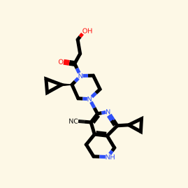 N#Cc1c(N2CCN(C(=O)CCO)[C@H](C3CC3)C2)nc(C2CC2)c2c1CCNC2